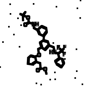 COC(=O)Cc1ccccc1OCc1cc(CNC(c2ccccc2)C(F)(F)F)cc(-c2cccc(CNC(=O)OC(C)(C)C)c2)c1